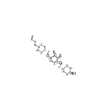 C=CCC[C@H]1CC[C@H](COc2ccc(OC[C@H]3CC[C@H](CC)CC3)c(F)c2F)CC1